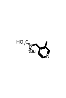 Cc1cnccc1CN(C(=O)O)C(C)(C)C